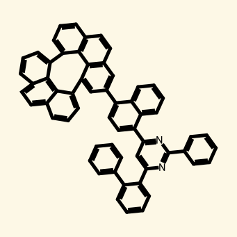 c1ccc(-c2nc(-c3ccccc3-c3ccccc3)cc(-c3ccc(-c4cc5ccc6cccc7c8cccc9ccc%10cccc(c(c4)c5c67)c%10c98)c4ccccc34)n2)cc1